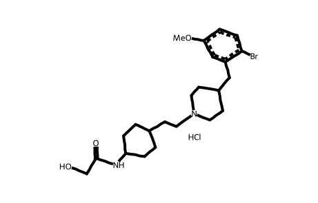 COc1ccc(Br)c(CC2CCN(CCC3CCC(NC(=O)CO)CC3)CC2)c1.Cl